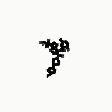 Cc1ccc(F)c(Nc2c(C(=O)N3CCC(c4ccc(F)cc4)CC3)cnc3c(S(N)(=O)=O)cnn23)c1